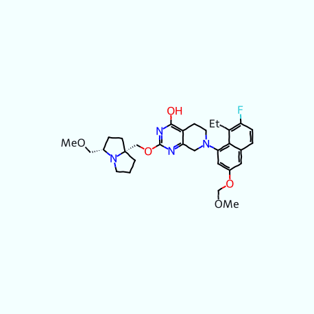 CCc1c(F)ccc2cc(OCOC)cc(N3CCc4c(O)nc(OC[C@]56CCCN5[C@H](COC)CC6)nc4C3)c12